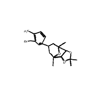 CC1(C)OC2C(O1)C1(C)CC(c3ccc(N)c(Br)c3)CC2(C)O1